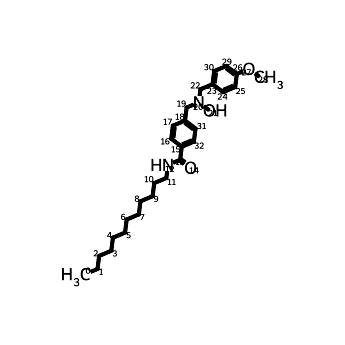 CCCCCCCCCCCCNC(=O)c1ccc(CN(O)Cc2ccc(OC)cc2)cc1